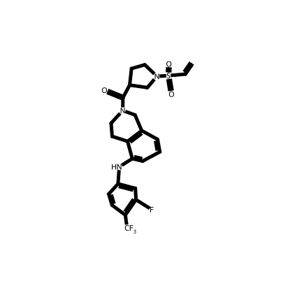 C=CS(=O)(=O)N1CCC(C(=O)N2CCc3c(cccc3Nc3ccc(C(F)(F)F)c(F)c3)C2)C1